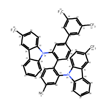 N#Cc1ccc(-c2ccc(-c3cc(C(F)(F)F)cc(C(F)(F)F)c3)cc2-n2c3ccccc3c3cc(C(F)(F)F)ccc32)c(-n2c3ccccc3c3cc(C(F)(F)F)ccc32)c1